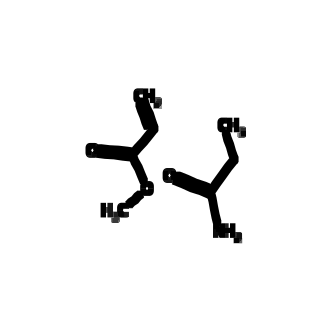 C=CC(=O)OC.CCC(N)=O